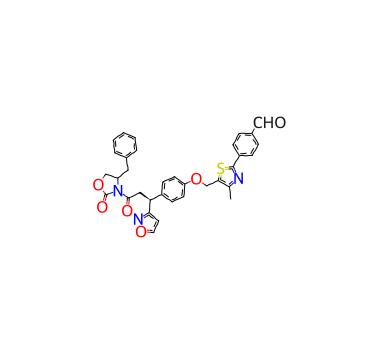 Cc1nc(-c2ccc(C=O)cc2)sc1COc1ccc([C@H](CC(=O)N2C(=O)OCC2Cc2ccccc2)c2ccon2)cc1